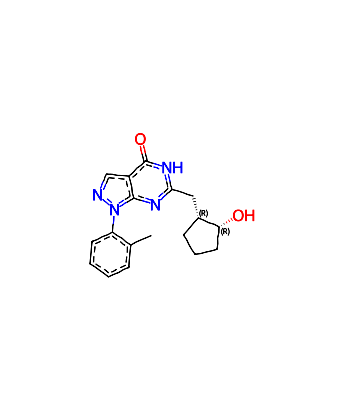 Cc1ccccc1-n1ncc2c(=O)[nH]c(C[C@H]3CCC[C@H]3O)nc21